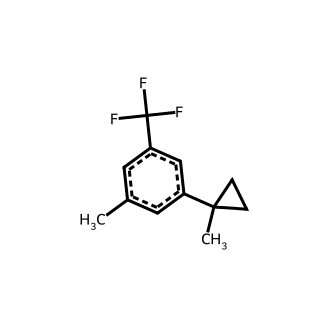 Cc1cc(C(F)(F)F)cc(C2(C)CC2)c1